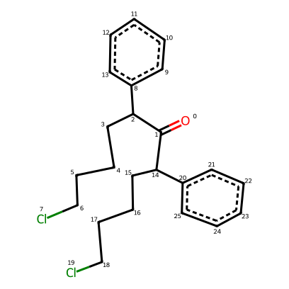 O=C(C(CCCCCl)c1ccccc1)C(CCCCCl)c1ccccc1